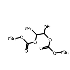 CCCCOC(=O)OC(CCC)C(CCC)OC(=O)OCCCC